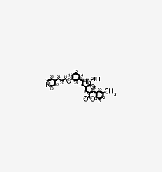 Cc1ccc2oc(=O)c(CC(CCc3cccc(OCCCc4ccncc4)c3)C(=O)NO)cc2c1